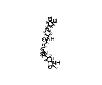 CC(=O)Nc1ccc(-c2csc(SCCCC(=O)NC3CCN(Cc4ccc(Cl)c(Cl)c4)CC3)n2)cc1